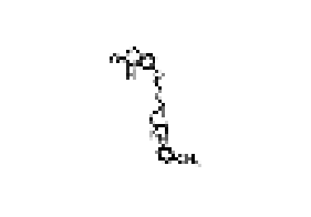 Cc1cccc(-n2cc3c(n2)CCN(CCCCOc2ccc4c(c2)NC(=O)CC4)C3)c1